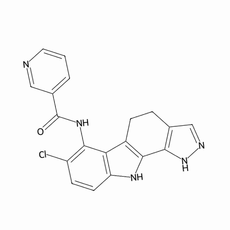 O=C(Nc1c(Cl)ccc2[nH]c3c(c12)CCc1cn[nH]c1-3)c1cccnc1